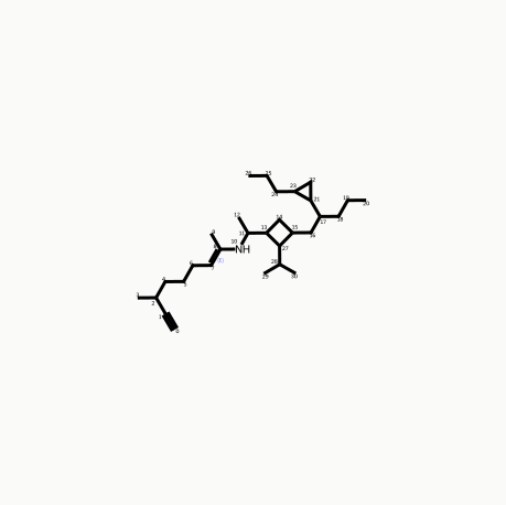 C#CC(C)CCC/C=C(\C)NC(C)C1CC(CC(CCC)C2CC2CCC)C1C(C)C